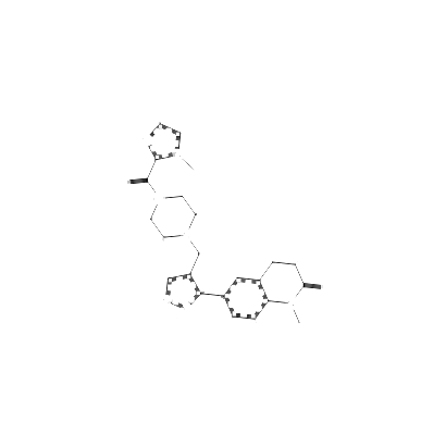 CN1C(=O)CCc2cc(-c3[nH]ncc3CN3CCN(C(=O)c4nccn4C)CC3)ccc21